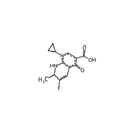 CC1Nc2c(c(=O)c(C(=O)O)cn2C2CC2)C=C1F